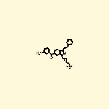 C[Si](C)(C)CCOCn1nc(/C=C/c2ccccc2)c2ccc(C(=O)c3cccc(N)c3)cc21